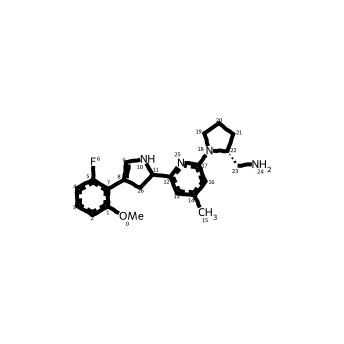 COc1cccc(F)c1C1=CNC(c2cc(C)cc(N3CCC[C@@H]3CN)n2)C1